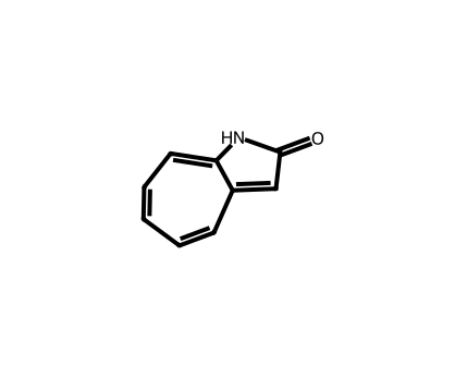 O=c1cc2cccccc-2[nH]1